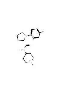 CC(=O)N1CCC(NC(=O)[C@@H]2CCCN2c2ccc(Cl)cc2)CC1